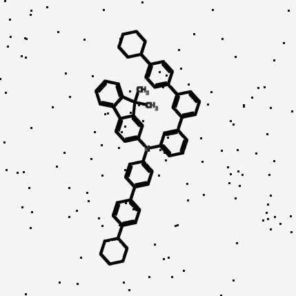 CC1(C)c2ccccc2-c2ccc(N(c3ccc(-c4ccc(C5CCCCC5)cc4)cc3)c3cccc(-c4cccc(-c5ccc(C6CCCCC6)cc5)c4)c3)cc21